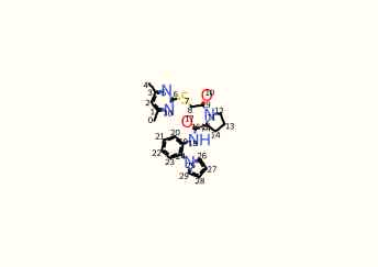 Cc1cc(C)nc(SCC(=O)N2CCC[C@H]2C(=O)Nc2ccccc2-n2cccc2)n1